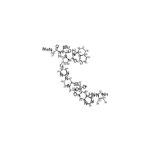 CN[C@@H](C)C(=O)N[C@H](C(=O)N1C[C@@H](Oc2cnc(N3CCN(CCOc4cc5ncnc(NN6CNC(C)=C6C)c5cc4S(=O)(=O)C(C)(C)C)CC3)nc2)C[C@H]1C(=O)N[C@@H]1CCCc2ccccc21)C(C)(C)C